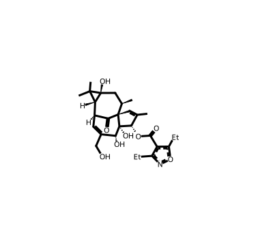 CCc1noc(CC)c1C(=O)O[C@H]1C(C)=C[C@]23C(=O)[C@@H](C=C(CO)[C@@H](O)[C@]12O)[C@@H]1C(C)(C)[C@]1(O)C[C@H]3C